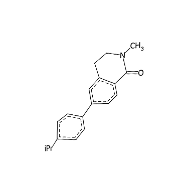 CC(C)c1ccc(-c2ccc3c(c2)CCN(C)C3=O)cc1